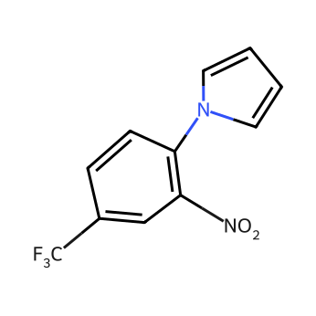 O=[N+]([O-])c1cc(C(F)(F)F)ccc1-n1cccc1